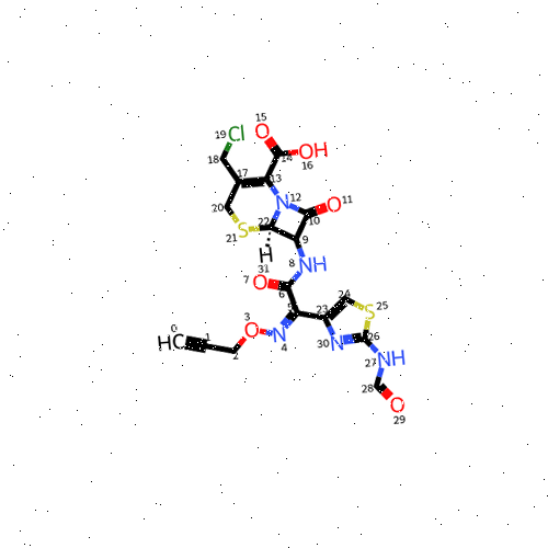 C#CCO/N=C(\C(=O)NC1C(=O)N2C(C(=O)O)=C(CCl)CS[C@H]12)c1csc(NC=O)n1